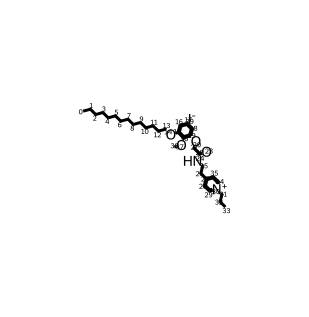 CCCCCCCCCCCCCCOc1cccc(OCC(=O)NCCc2cc[n+](CCC)cc2)c1OC.[I-]